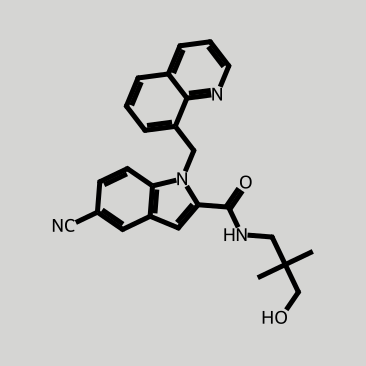 CC(C)(CO)CNC(=O)c1cc2cc(C#N)ccc2n1Cc1cccc2cccnc12